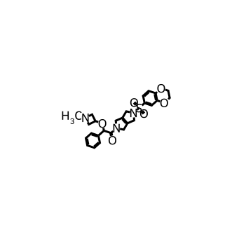 CN1CC(OC(C(=O)N2CC3=C(C2)CN(S(=O)(=O)c2ccc4c(c2)OCCO4)C3)c2ccccc2)C1